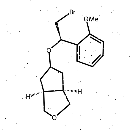 COc1ccccc1[C@H](CBr)OC1C[C@H]2COC[C@H]2C1